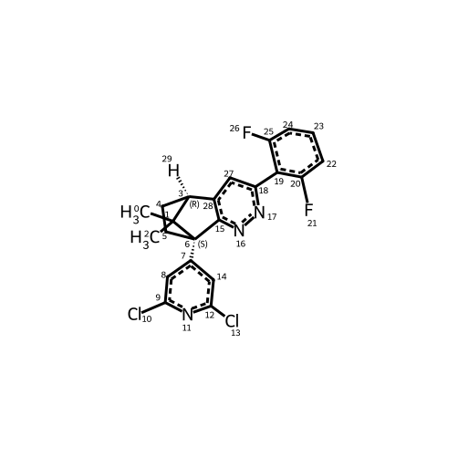 CC1(C)[C@H]2CC[C@]1(c1cc(Cl)nc(Cl)c1)c1nnc(-c3c(F)cccc3F)cc12